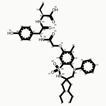 CCCCC1(CCCC)CN(c2ccccc2)c2cc(C)c(OCC(=O)N[C@@H](C(=O)N[C@@H](CC)C(=O)O)c3ccc(O)cc3)cc2S(=O)(=O)N1